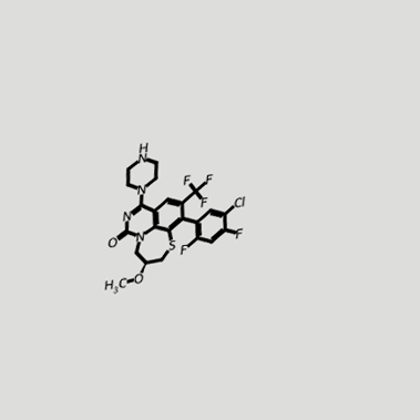 CO[C@@H]1CSc2c(-c3cc(Cl)c(F)cc3F)c(C(F)(F)F)cc3c(N4CCNCC4)nc(=O)n(c23)C1